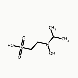 CC(C)N(O)CCS(=O)(=O)O